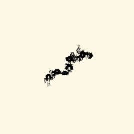 COc1c(N2CC3(CCN(C[C@@H]4CCN(c5ccc6c(c5)C(=O)N(C5CCC(=O)NC5=O)C6=O)C4)CC3)C2)cccc1S(=O)(=O)Nc1noc2cc(Cn3cccn3)cc(OC)c12